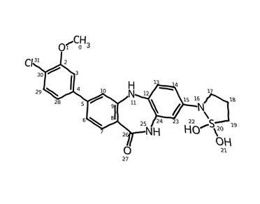 COc1cc(-c2ccc3c(c2)Nc2ccc(N4CCCS4(O)O)cc2NC3=O)ccc1Cl